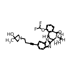 [2H]C([2H])([2H])N1C(=O)c2cccc(OC(F)F)c2[C@H]2C[C@@H]1c1nc3ccc(C#CCCN4CC(C)(O)C4)cc3n12